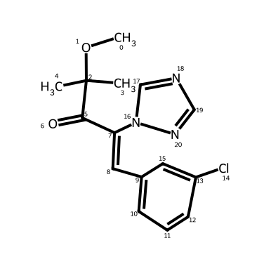 COC(C)(C)C(=O)C(=Cc1cccc(Cl)c1)n1cncn1